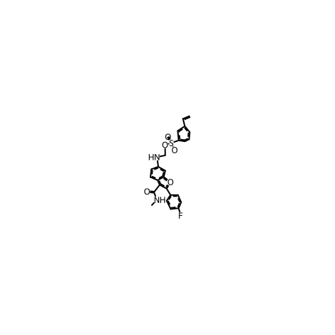 C=Cc1cccc(S(=O)(=O)OCNc2ccc3c(C(=O)NC)c(-c4ccc(F)cc4)oc3c2)c1